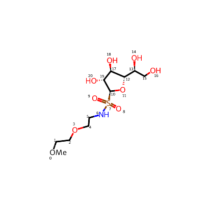 COCCOCCNS(=O)(=O)[C@@H]1O[C@@H]([C@@H](O)CO)[C@H](O)[C@H]1O